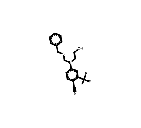 N#Cc1ccc(N(CCO)CSCc2ccccc2)cc1C(F)(F)F